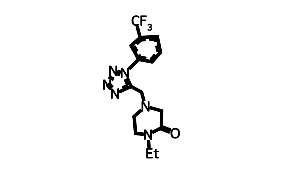 CCN1CCN(Cc2nnnn2-c2cccc(C(F)(F)F)c2)CC1=O